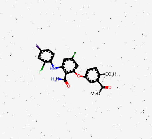 COC(=O)c1cc(Oc2cc(F)cc(Nc3ccc(I)cc3F)c2C(N)=O)ccc1C(=O)O